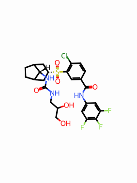 O=C(NCC(O)CO)N[C@H]1C2CCC1C[C@@H](S(=O)(=O)c1cc(C(=O)Nc3cc(F)c(F)c(F)c3)ccc1Cl)C2